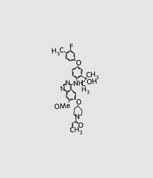 C=CC(=O)N1CCC(Oc2cc3c(Nc4ccc(Oc5ccc(C)c(F)c5)cc4C(C)(C)O)ncnc3cc2OC)CC1